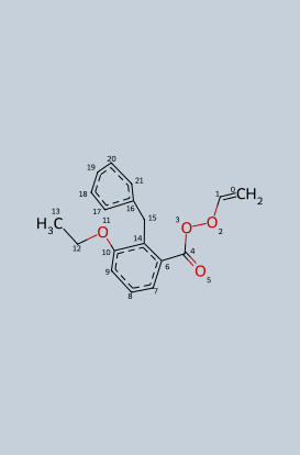 C=COOC(=O)c1cccc(OCC)c1Cc1ccccc1